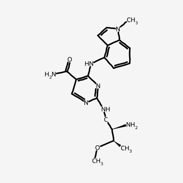 CO[C@H](C)[C@H](N)CNc1ncc(C(N)=O)c(Nc2cccc3c2ccn3C)n1